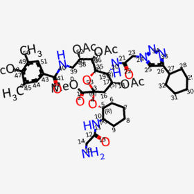 COC(=O)[C@@]1(O[C@@H]2CCCC[C@H]2NC(=O)CN)C[C@H](OC(C)=O)[C@@H](NC(=O)Cn2cc(C3CCCCC3)nn2)[C@H]([C@H](OC(C)=O)[C@@H](CNC(=O)c2cc(C)c(OC(C)=O)c(C)c2)OC(C)=O)O1